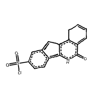 O=c1[nH]c2c(c3c1=CC=CC3)C=c1cc(S(=O)(=O)Cl)ccc1=2